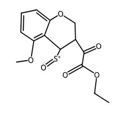 CCOC(=O)C(=O)C1COc2cccc(OC)c2C1[S+]=O